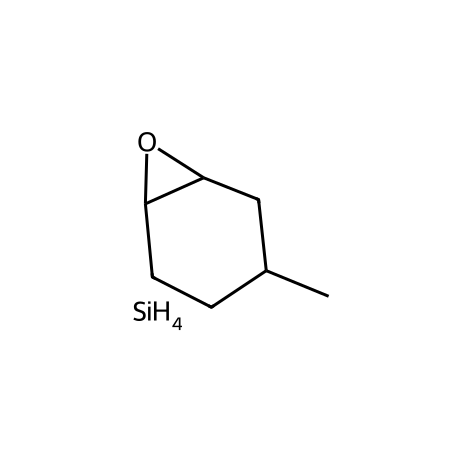 CC1CCC2OC2C1.[SiH4]